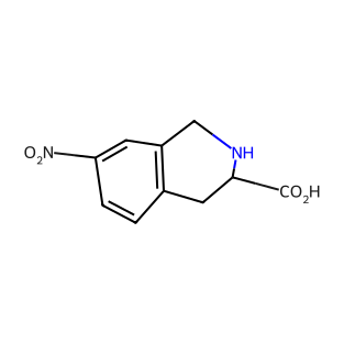 O=C(O)C1Cc2ccc([N+](=O)[O-])cc2CN1